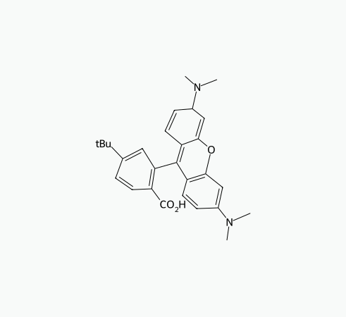 CN(C)c1ccc2c(c1)OC1=CC(N(C)C)C=CC1=C2c1cc(C(C)(C)C)ccc1C(=O)O